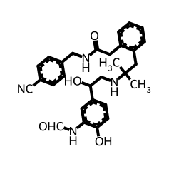 CC(C)(Cc1ccccc1CC(=O)NCc1ccc(C#N)cc1)NCC(O)c1ccc(O)c(NC=O)c1